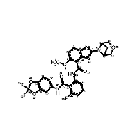 COc1ccc2nc(N3C4COCC3C4)sc2c1C(=O)Nc1cccc(F)c1C(=O)Nc1ccc2c(c1)OC(F)(F)O2